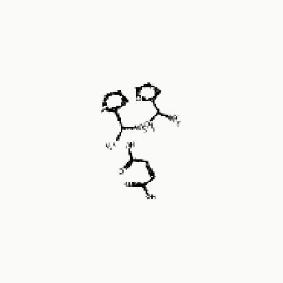 CC(N)c1ccco1.CC(N)c1ccco1.O=C(O)/C=C\C(=O)O